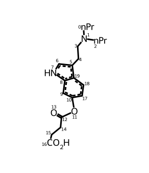 CCCN(CCC)CCc1c[nH]c2cc(OC(=O)CCC(=O)O)ccc12